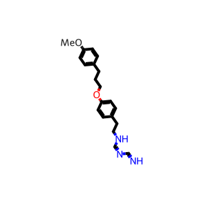 COc1ccc(CCCOc2ccc(CCN/C=N\C=N)cc2)cc1